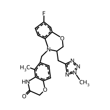 Cc1c(CN2c3ccc(F)cc3OCC2Cc2nnn(C)n2)ccc2c1NC(=O)CO2